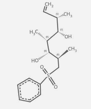 C=C[C@H](C)[C@H](O)[C@@H](C)[C@@H](O)[C@@H](C)CS(=O)(=O)c1ccccc1